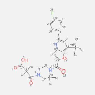 CC(C)(C(=O)O)C(=O)N1CCN(C(=O)c2cc3nc(-c4ccc(F)cc4)cc(C(C)(C)C)c3o2)C(C)(C)C1